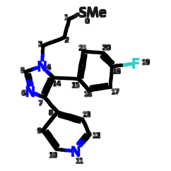 CSCCCn1cnc(-c2ccncc2)c1-c1ccc(F)cc1